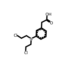 O=C(O)Cc1cccc(N(CCCl)CCCl)c1